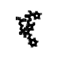 CCN(CC)CCCS(=O)(=O)N[C@H](CCc1ccccc1)c1nc(COC(=O)N(C)C2CCCC2)n(C)n1